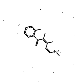 C=C(/C(C)=C(C)\C=C/NC)c1ccccc1C